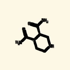 NC(=O)[C@H]1CNCCN1C(N)=O